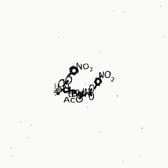 CC(=O)OC(CNC(=O)OCc1ccc([N+](=O)[O-])cc1)CSC[C@@]1(C(C)(C)C)C[C@H](O[SiH](C)C)N(C(=O)OCc2ccc([N+](=O)[O-])cc2)C1